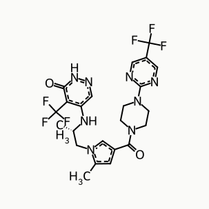 Cc1cc(C(=O)N2CCN(c3ncc(C(F)(F)F)cn3)CC2)cn1C[C@H](C)Nc1cn[nH]c(=O)c1C(F)(F)F